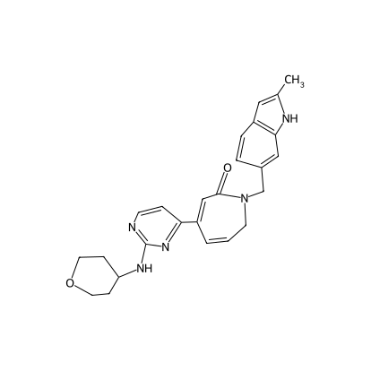 Cc1cc2ccc(CN3CC=CC(c4ccnc(NC5CCOCC5)n4)=CC3=O)cc2[nH]1